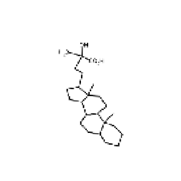 BC(O)(CCC1CCC2C3CCC4CCCCC4(C)C3CCC12C)C(=O)O